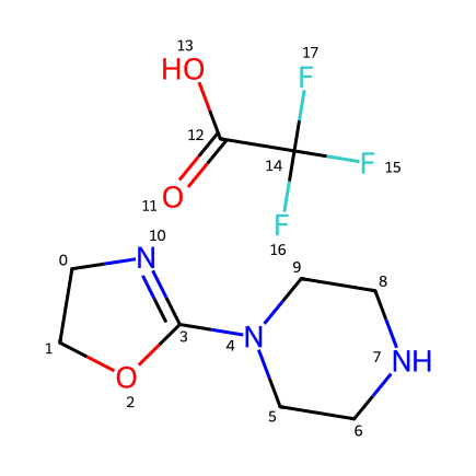 C1COC(N2CCNCC2)=N1.O=C(O)C(F)(F)F